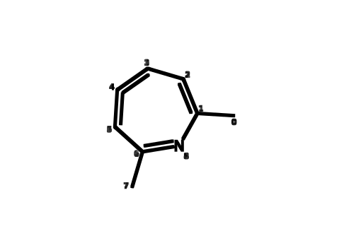 CC1=CC=C=CC(C)=N1